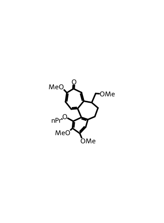 CCCOc1c(OC)c(OC)cc2c1-c1ccc(OC)c(=O)cc1C(COC)CC2